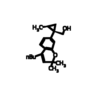 CCCCC1=CC(C)(C)Oc2cc([C@@]3(CO)C[C@@H]3C)ccc21